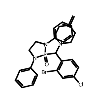 C=C1CCN(C(c2ccc(Cl)cc2Br)P2(=O)N(c3ccccc3)CCN2c2ccccc2)CC1